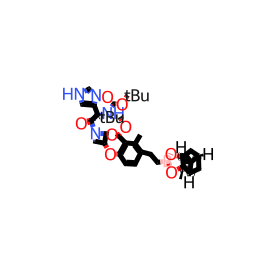 Cc1c(CCB2O[C@@H]3C[C@@H]4C[C@@H](C4(C)C)[C@]3(C)O2)ccc(OC2CN(C(=O)[C@H](NC(=O)OC(C)(C)C)c3c[nH]cn3)C2)c1C(=O)OC(C)(C)C